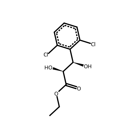 CCOC(=O)[C@@H](O)[C@H](O)c1c(Cl)cccc1Cl